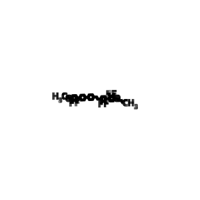 CCCCOc1ccc(-c2ccc(CCC3CCC(C4CCC(c5ccc(OCC)c(F)c5F)CC4)CC3)c(F)c2F)c(F)c1F